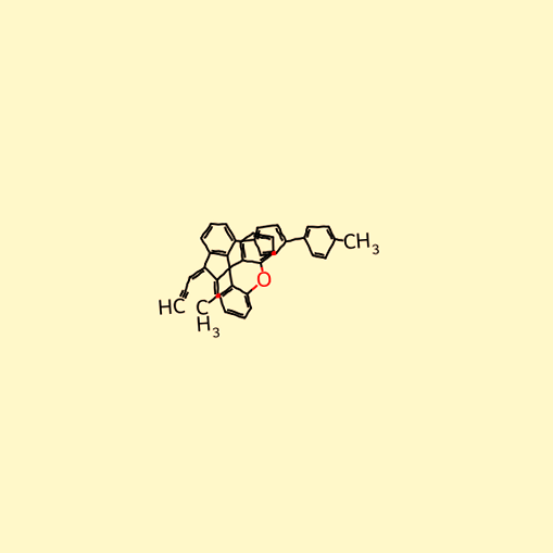 C#C/C=C1\C(=C/C)C2(c3ccccc3Oc3ccccc32)c2c1cccc2-c1ccc(-c2ccc(C)cc2)cc1